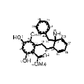 COC(=O)c1c(O)cc(O)c(Cl)c1CCC1C=CC=CC1(N)Cc1ccccc1